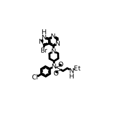 CCNCCS(=O)(=O)N(c1ccc(Cl)cc1)C1CCN(c2ncnc3[nH]nc(Br)c23)CC1